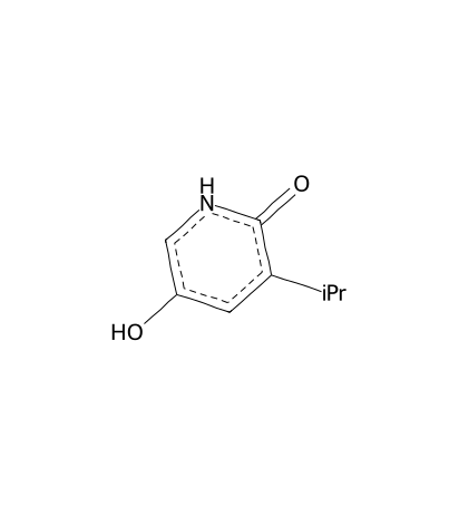 CC(C)c1cc(O)c[nH]c1=O